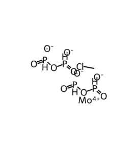 CCl.O=[PH]([O-])O[PH](=O)[O-].O=[PH]([O-])O[PH](=O)[O-].[Mo+4]